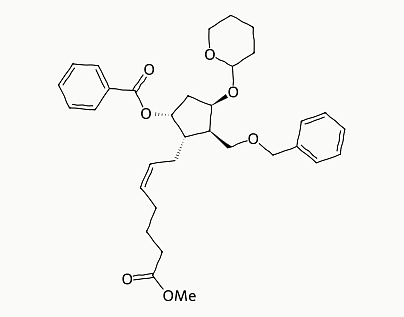 COC(=O)CCC/C=C\C[C@H]1[C@H](COCc2ccccc2)[C@H](OC2CCCCO2)C[C@H]1OC(=O)c1ccccc1